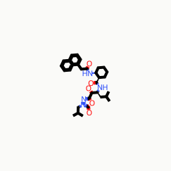 CC(C)C[C@H](NC(=O)[C@@H]1CCCC[C@@H]1NC(=O)Cc1cccc2ccccc12)C(=O)c1nn(CC(C)C)c(=O)o1